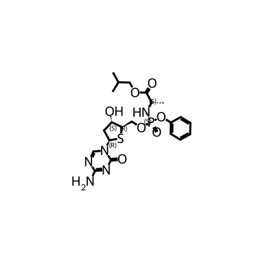 CC(C)COC(=O)[C@H](C)N[P@](=O)(OC[C@H]1S[C@@H](n2cnc(N)nc2=O)C[C@@H]1O)Oc1ccccc1